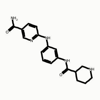 NC(=O)c1ccc(Nc2cccc(NC(=O)C3CCCNC3)c2)nc1